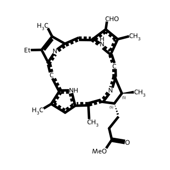 CCC1=C(C)c2cc3[nH]c(cc4nc(c(C)c5cc(C)c(cc1n2)[nH]5)[C@@H](CCC(=O)OC)[C@@H]4C)c(C)c3C=O